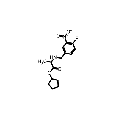 CC(NCc1ccc(F)c([N+](=O)[O-])c1)C(=O)OC1CCCC1